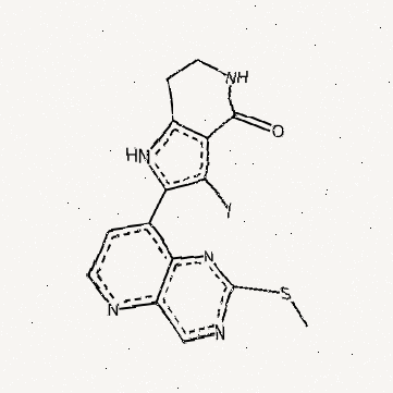 CSc1ncc2nccc(-c3[nH]c4c(c3I)C(=O)NCC4)c2n1